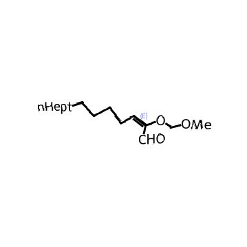 CCCCCCCCCCC/C=C(\C=O)OCOC